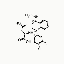 CN[C@H]1CC[C@@H](c2ccc(Cl)c(Cl)c2)c2ccccc21.NC(CC(=O)O)C(=O)O